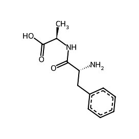 C[C@@H](NC(=O)[C@H](N)Cc1ccccc1)C(=O)O